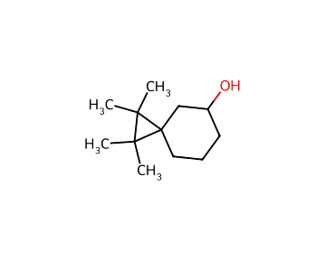 CC1(C)C(C)(C)C12CCCC(O)C2